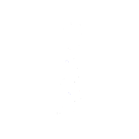 COC(=O)C1COC(c2ccc(NC(=O)OCc3ccccc3)cc2F)=N1